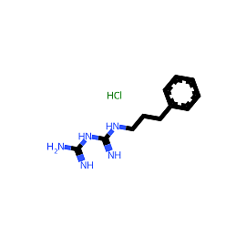 Cl.N=C(N)NC(=N)NCCCc1ccccc1